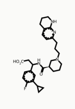 O=C(O)CC(NC(=O)[C@@H]1CCCN(CCCc2ccc3c(n2)NCCC3)C1)c1ccc(F)c(C2CC2)c1